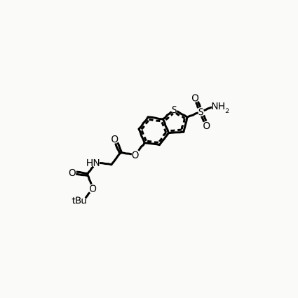 CC(C)(C)OC(=O)NCC(=O)Oc1ccc2sc(S(N)(=O)=O)cc2c1